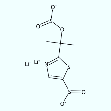 CC(C)(OS(=O)[O-])c1ncc(S(=O)[O-])s1.[Li+].[Li+]